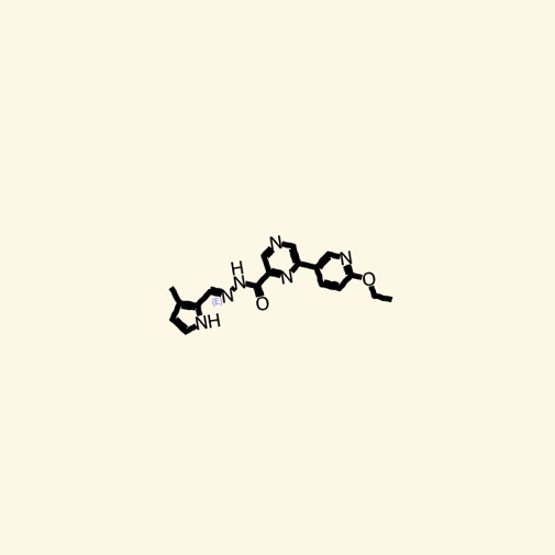 CCOc1ccc(-c2cncc(C(=O)N/N=C/c3[nH]ccc3C)n2)cn1